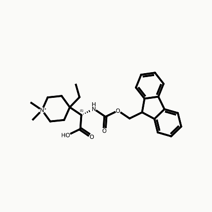 CCC1([C@H](NC(=O)OCC2c3ccccc3-c3ccccc32)C(=O)O)CC[N+](C)(C)CC1